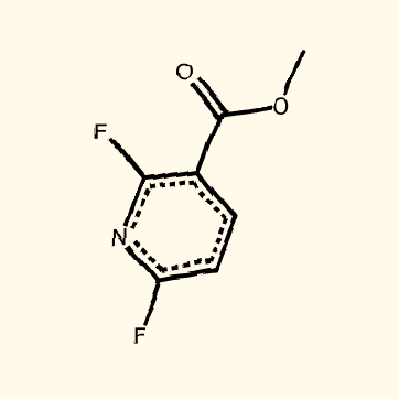 COC(=O)c1ccc(F)nc1F